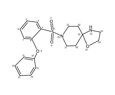 O=S(=O)(c1ccccc1Oc1ccccc1)N1CCC2(CC1)NCCO2